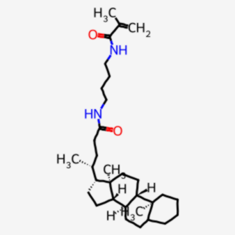 C=C(C)C(=O)NCCCCNC(=O)CC[C@@H](C)[C@H]1CC[C@H]2[C@@H]3CCC4CCCC[C@]4(C)[C@H]3CC[C@]12C